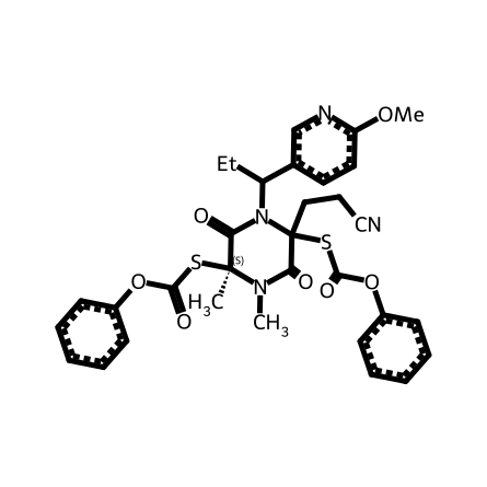 CCC(c1ccc(OC)nc1)N1C(=O)[C@](C)(SC(=O)Oc2ccccc2)N(C)C(=O)C1(CCC#N)SC(=O)Oc1ccccc1